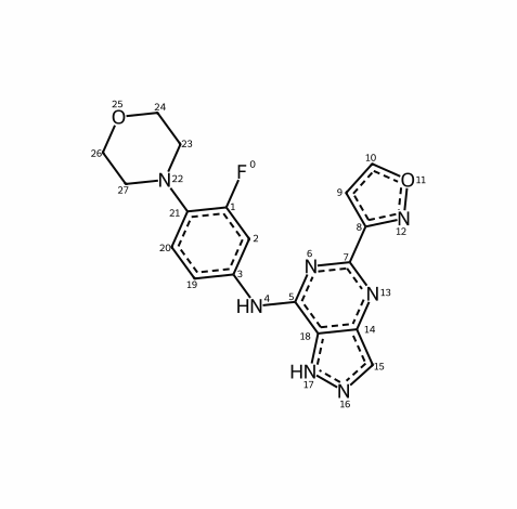 Fc1cc(Nc2nc(-c3ccon3)nc3cn[nH]c23)ccc1N1CCOCC1